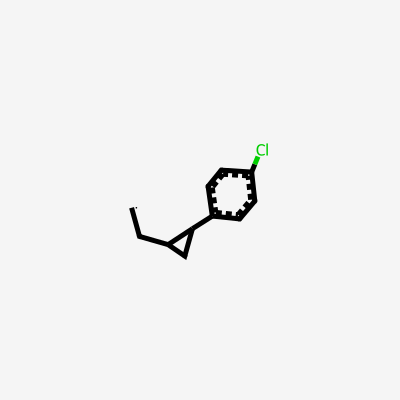 [CH2]CC1CC1c1ccc(Cl)cc1